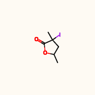 CC1CC(C)(I)C(=O)O1